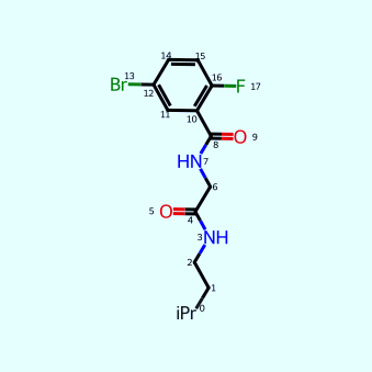 CC(C)CCNC(=O)CNC(=O)c1cc(Br)ccc1F